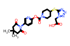 CC1(C)CC(=O)N(c2ccc(OC(=O)N3CCC(Sc4nnnn4CC(=O)O)CC3)nc2)C(=O)C1